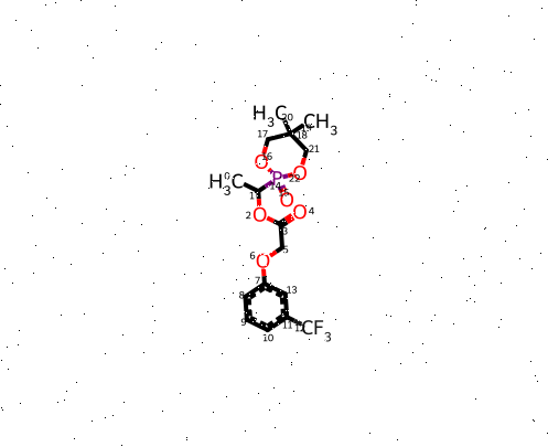 CC(OC(=O)COc1cccc(C(F)(F)F)c1)P1(=O)OCC(C)(C)CO1